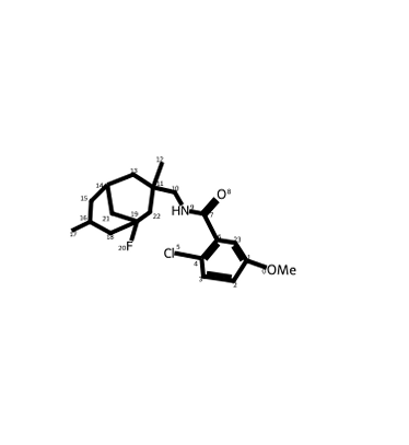 COc1ccc(Cl)c(C(=O)NCC2(C)CC3CC(C)CC(F)(C3)C2)c1